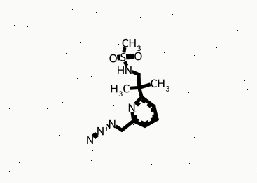 CC(C)(CNS(C)(=O)=O)c1cccc(CN=[N+]=[N-])n1